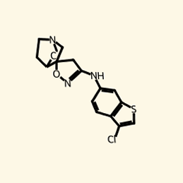 Clc1csc2cc(NC3=NOC4(C3)CN3CCC4CC3)ccc12